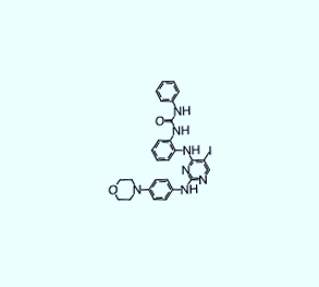 O=C(Nc1ccccc1)Nc1ccccc1Nc1nc(Nc2ccc(N3CCOCC3)cc2)ncc1I